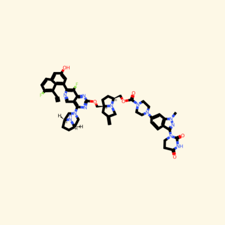 C#Cc1c(F)ccc2cc(O)cc(-c3ncc4c(N5C[C@H]6CC[C@@H](C5)N6)nc(OC[C@@]56CC[C@@H](COC(=O)N7CCN(c8ccc9c(N%10CCC(=O)NC%10=O)nn(C)c9c8)CC7)N5CC(=C)C6)nc4c3F)c12